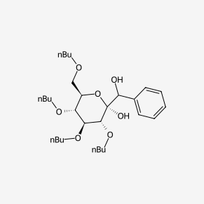 CCCCOC[C@H]1O[C@@](O)(C(O)c2ccccc2)[C@H](OCCCC)[C@@H](OCCCC)[C@@H]1OCCCC